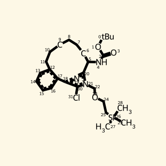 CC(C)(C)OC(=O)NC1CCCCCCc2ccccc2-c2nc1n(COCC[Si](C)(C)C)c2Cl